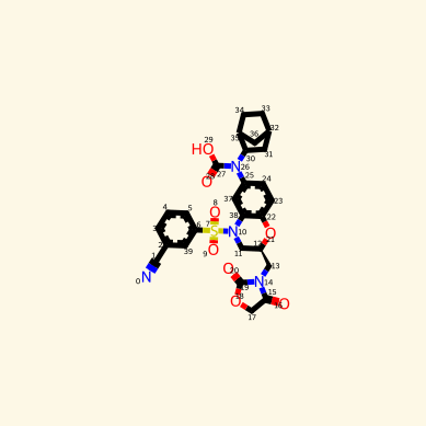 N#Cc1cccc(S(=O)(=O)N2C[C@H](CN3C(=O)COC3=O)Oc3ccc(N(C(=O)O)C4CC5CCC4C5)cc32)c1